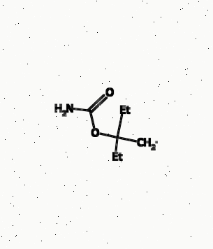 [CH2]C(CC)(CC)OC(N)=O